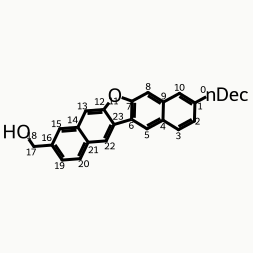 CCCCCCCCCCc1ccc2cc3c(cc2c1)oc1cc2cc(CO)ccc2cc13